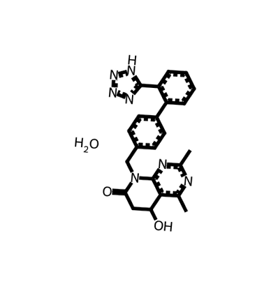 Cc1nc(C)c2c(n1)N(Cc1ccc(-c3ccccc3-c3nnn[nH]3)cc1)C(=O)CC2O.O